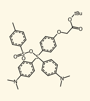 Cc1ccc(S(=O)(=O)OS(c2ccc(OCC(=O)OC(C)(C)C)cc2)(c2ccc(N(C)C)cc2)c2ccc(N(C)C)cc2)cc1